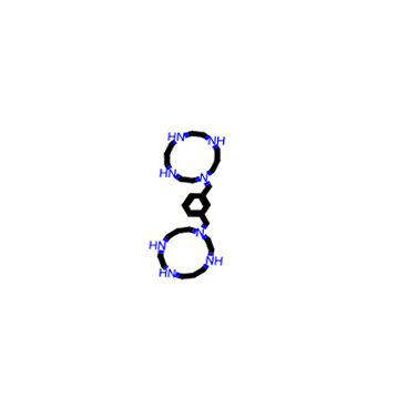 c1cc(CN2CCCNCCNCCCNCC2)cc(CN2CCCNCCNCCCNCC2)c1